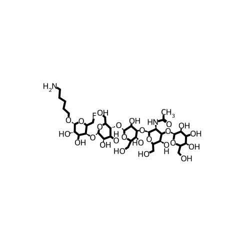 CC(=O)N[C@H]1C(O[C@@H]2OC(CO)[C@H](O)C(O)[C@@H]2O)[C@@H](O)C(CO)O[C@H]1O[C@@H]1C(O)[C@@H](O[C@H]2C(CO)O[C@@H](O[C@@H]3C(CF)O[C@@H](OCCCCCN)[C@@H](O)C3O)[C@@H](O)C2O)OC(CO)[C@@H]1O